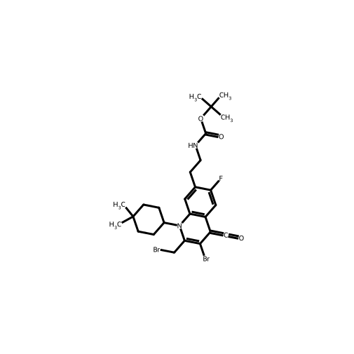 CC1(C)CCC(N2C(CBr)=C(Br)C(=C=O)c3cc(F)c(CCNC(=O)OC(C)(C)C)cc32)CC1